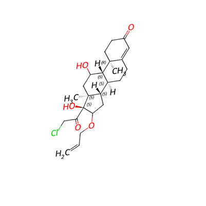 C=CCOC1C[C@H]2[C@@H]3CCC4=CC(=O)CC[C@]4(C)[C@H]3C(O)C[C@]2(C)[C@@]1(O)C(=O)CCl